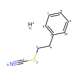 N#CSCCc1ccccc1.[H+]